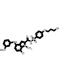 COc1cccc(Nc2ccc(Cl)c3c2cc(C(=O)NS(=O)(=O)c2ccc(OCCCO)cc2)n3C)c1